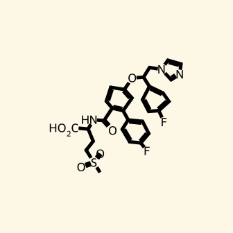 CS(=O)(=O)CCC(NC(=O)c1ccc(OC(Cn2ccnc2)c2ccc(F)cc2)cc1-c1ccc(F)cc1)C(=O)O